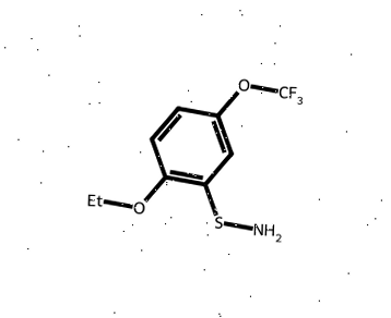 CCOc1ccc(OC(F)(F)F)cc1SN